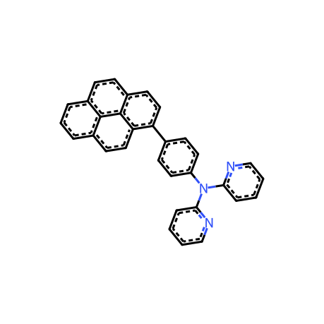 c1ccc(N(c2ccc(-c3ccc4ccc5cccc6ccc3c4c56)cc2)c2ccccn2)nc1